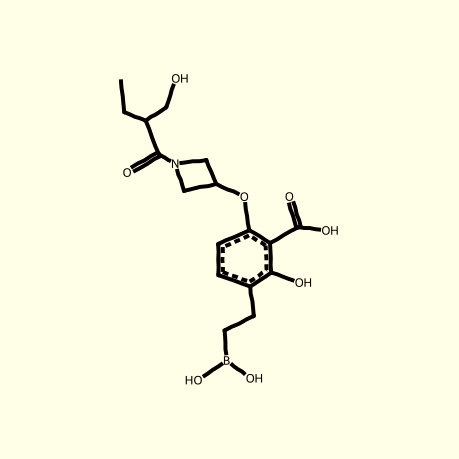 CCC(CO)C(=O)N1CC(Oc2ccc(CCB(O)O)c(O)c2C(=O)O)C1